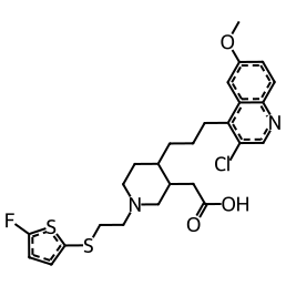 COc1ccc2ncc(Cl)c(CCCC3CCN(CCSc4ccc(F)s4)CC3CC(=O)O)c2c1